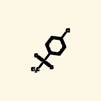 O=S(=O)(c1ccc(Cl)cc1)C(Cl)(Cl)Cl